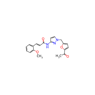 COc1ccccc1C=CC(=O)Nc1ccn(Cc2ccc(C(C)=O)o2)n1